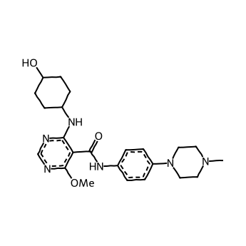 COc1ncnc(NC2CCC(O)CC2)c1C(=O)Nc1ccc(N2CCN(C)CC2)cc1